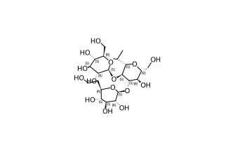 CC(C)[C@@H]1O[C@H](CO)[C@@H](O)[C@H](O[C@@H]2O[C@H](CCO)[C@@H](O)[C@H](O)[C@H]2O)[C@H]1O[C@@H]1O[C@H](CO)[C@@H](O)[C@H](O)[C@H]1O